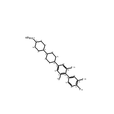 CCCCCC1CCC(C2CCC(c3cc(F)c(-c4ccc(F)c(F)c4)c(F)c3)CC2)CC1